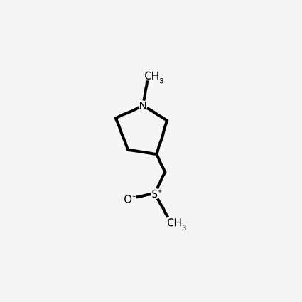 CN1CCC(C[S+](C)[O-])C1